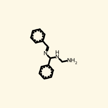 NCNC(/N=C/c1ccccc1)c1ccccc1